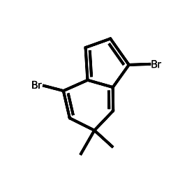 CC1(C)C=C(Br)C2=CC=C(Br)C2=C1